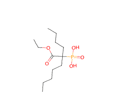 CCCCCC(CCCC)(C(=O)OCC)P(=O)(O)O